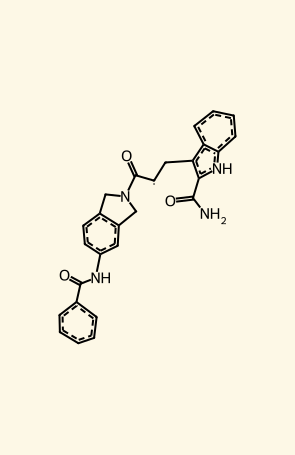 NC(=O)c1[nH]c2ccccc2c1C[CH]C(=O)N1Cc2ccc(NC(=O)c3ccccc3)cc2C1